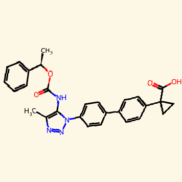 Cc1nnn(-c2ccc(-c3ccc(C4(C(=O)O)CC4)cc3)cc2)c1NC(=O)O[C@H](C)c1ccccc1